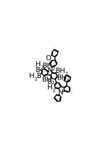 Bc1c(B)c(B)c2c(c1B)c1c(B)c(-c3ccc4c(c3)c3c(-c5ccccc5)cccc3n4-c3ccccc3)c(B)c(B)c1n2-c1ccc2c(c1)oc1ccccc12